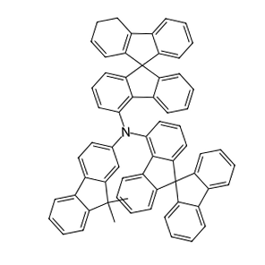 CC1(C)c2ccccc2-c2ccc(N(c3cccc4c3-c3ccccc3C43C4=C(CCC=C4)c4ccccc43)c3cccc4c3-c3ccccc3C43c4ccccc4-c4ccccc43)cc21